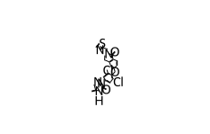 C=C1C=NN(c2cc(Cl)c(Oc3ccc4c(c3)CCN(Cc3nccs3)C4=O)c(Cl)c2)C(=O)N1